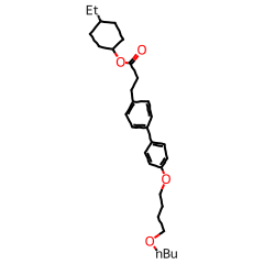 CCCCOCCCCOc1ccc(-c2ccc(CCC(=O)OC3CCC(CC)CC3)cc2)cc1